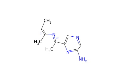 C/C=C(C)\N=C(/C)c1cncc(N)n1